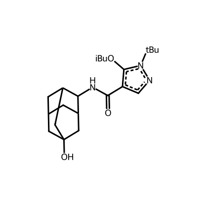 CC(C)COc1c(C(=O)NC2C3CC4CC2CC(O)(C4)C3)cnn1C(C)(C)C